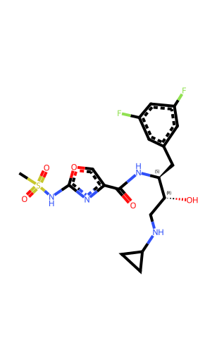 CS(=O)(=O)Nc1nc(C(=O)N[C@@H](Cc2cc(F)cc(F)c2)[C@H](O)CNC2CC2)co1